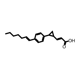 CCCCC/C=C/c1ccc(C2CC2/C=C/C(=O)O)cc1